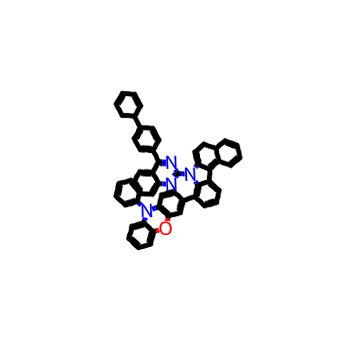 C1=CCC(c2ccc(-c3nc(-n4c5c(c6cccc(-c7ccc8c(c7)Oc7ccccc7N8c7ccccc7)c64)=C4C=CC=CC4CC=5)nc4ccccc34)cc2)C=C1